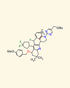 COc1ccc(COC2CC(C)(C)Cc3nc(C4CCN(c5ncc(COCC(C)C)cn5)CC4)c(C(F)c4ccc(C)cc4)c(C4CCC(F)(F)CC4)c32)cc1